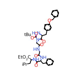 CCOC(=O)C(CC(C)C)NC(=O)C(Cc1ccccc1)NC(=O)CNC(=O)CN(C(=O)OC(C)(C)C)C(=O)C(N)Cc1ccc(OCc2ccccc2)cc1